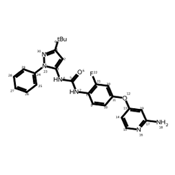 CC(C)(C)c1cc(NC(=O)Nc2ccc(Oc3ccnc(N)c3)cc2F)n(-c2ccccc2)n1